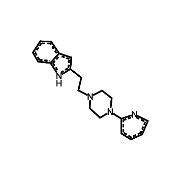 c1ccc(N2CCN(CCc3cc4ccccc4[nH]3)CC2)nc1